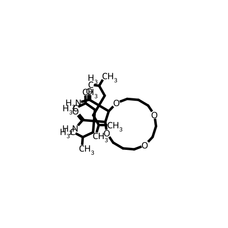 CC(C)CC(CC(C)C)(C(N)=O)C1OCCCOCCOCCCOC1C(CC(C)C)(CC(C)C)C(N)=O